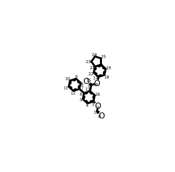 O=[C]Oc1ccc(-c2ccccc2)c(C(=O)Oc2ccc3c(c2)CCC3)c1